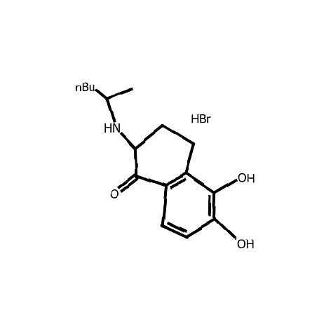 Br.CCCCC(C)NC1CCc2c(ccc(O)c2O)C1=O